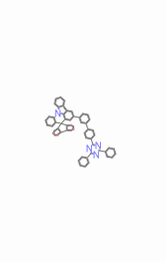 c1ccc(-c2nc(-c3ccccc3)nc(-c3ccc(-c4cccc(-c5cc6c7c(c5)c5ccccc5n7-c5ccccc5C65c6ccccc6-c6ccccc65)c4)cc3)n2)cc1